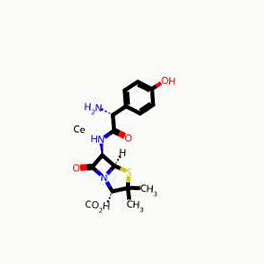 CC1(C)S[C@@H]2[C@H](NC(=O)[C@H](N)c3ccc(O)cc3)C(=O)N2[C@H]1C(=O)O.[Ce]